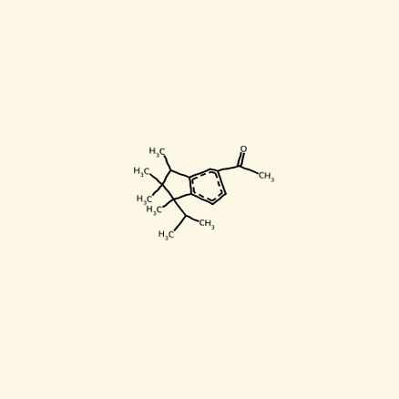 CC(=O)c1ccc2c(c1)C(C)C(C)(C)C2(C)C(C)C